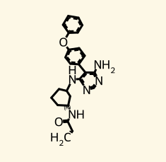 C=CC(=O)N[C@@H]1CCCC(Nc2ncnc(N)c2-c2ccc(Oc3ccccc3)cc2)C1